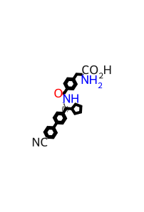 N#Cc1ccc(-c2ccc([C@H](CNC(=O)c3ccc(CC(N)C(=O)O)cc3)C3CCCC3)cc2)cc1